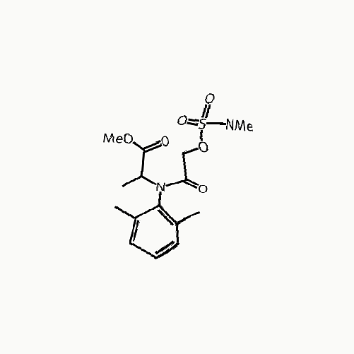 CNS(=O)(=O)OCC(=O)N(c1c(C)cccc1C)C(C)C(=O)OC